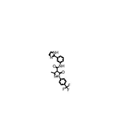 CC1=NN(c2ccc(C(F)(F)F)cc2)C(=O)C1C(=O)Nc1cccc(-c2ncc[nH]2)c1